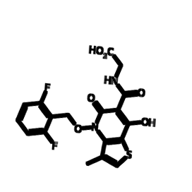 Cc1csc2c(O)c(C(=O)NCC(=O)O)c(=O)n(OCc3c(F)cccc3F)c12